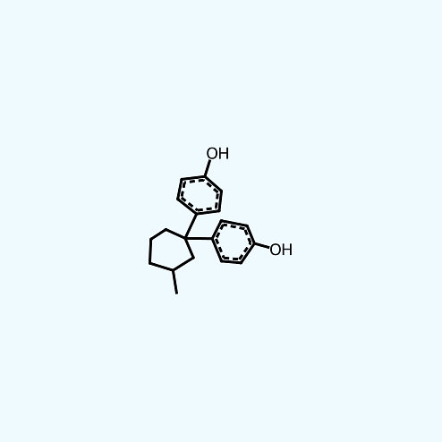 CC1CCCC(c2ccc(O)cc2)(c2ccc(O)cc2)C1